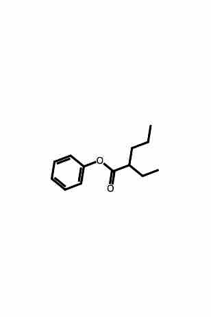 CCCC(CC)C(=O)Oc1ccccc1